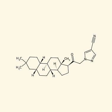 CC1(C)CC[C@H]2[C@H](CC[C@@H]3[C@@H]2CC[C@]2(C)[C@@H](C(=O)Cn4cc(C#N)cn4)CC[C@@H]32)C1